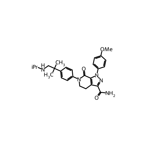 COc1ccc(-n2nc(C(N)=O)c3c2C(=O)N(c2ccc(C(C)(C)CNC(C)C)cc2)CC3)cc1